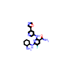 NC(=O)c1cc(F)c(NC2CCCCC2N)nc1Nc1cncc(-c2cnco2)c1